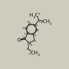 CCN1Cc2cc(C(C)C)ccc2C1=O